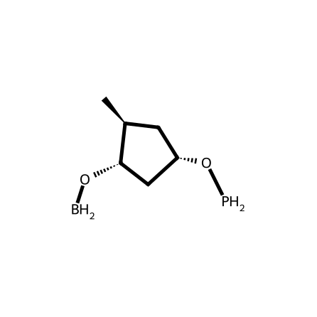 BO[C@H]1C[C@@H](OP)C[C@@H]1C